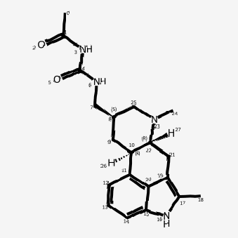 CC(=O)NC(=O)NC[C@@H]1C[C@@H]2c3cccc4[nH]c(C)c(c34)C[C@H]2N(C)C1